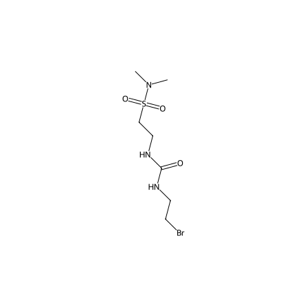 CN(C)S(=O)(=O)CCNC(=O)NCCBr